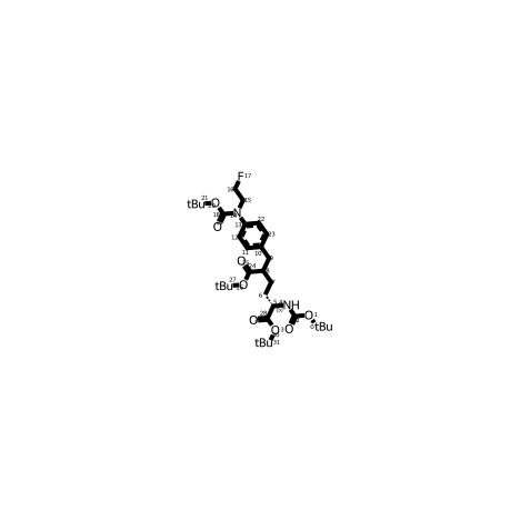 CC(C)(C)OC(=O)N[C@@H](CCC(Cc1ccc(N(CCF)C(=O)OC(C)(C)C)cc1)C(=O)OC(C)(C)C)C(=O)OC(C)(C)C